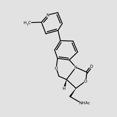 CC(=O)NC[C@@H]1OC(=O)N2c3ccc(-c4ccnc(C)c4)cc3OC[C@@H]12